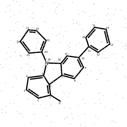 Cc1cccc2c1c1ccc(-c3ccccc3)cc1n2-c1ccccc1